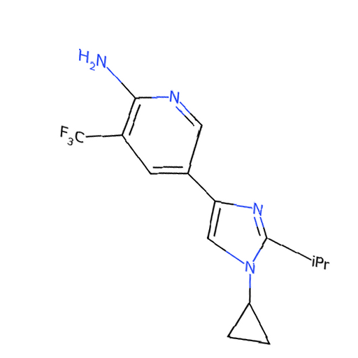 CC(C)c1nc(-c2cnc(N)c(C(F)(F)F)c2)cn1C1CC1